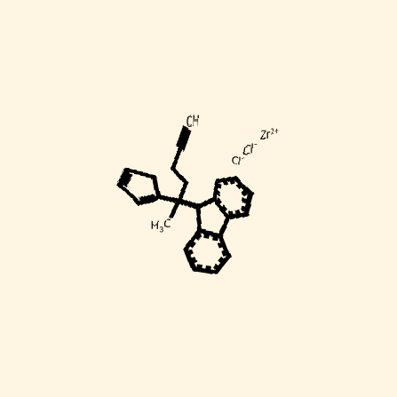 C#CCCC(C)(C1=CC=CC1)C1c2ccccc2-c2ccccc21.[Cl-].[Cl-].[Zr+2]